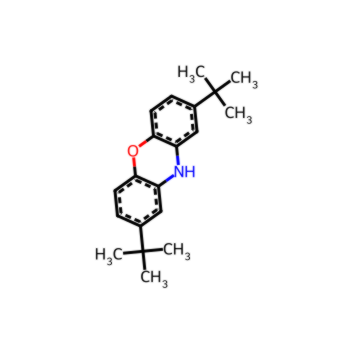 CC(C)(C)c1ccc2c(c1)Nc1cc(C(C)(C)C)ccc1O2